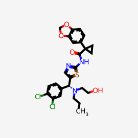 CCCN(CCO)[C@H](c1ccc(Cl)c(Cl)c1)c1cnc(NC(=O)C2(c3ccc4c(c3)OCO4)CC2)s1